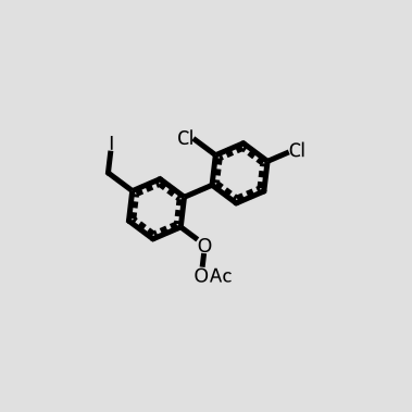 CC(=O)OOc1ccc(CI)cc1-c1ccc(Cl)cc1Cl